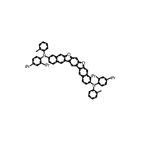 Cc1ccccc1N(c1ccc2cc3c(cc2c1)oc1cc2oc4cc5cc(N(c6ccccc6C)c6ccc(C(C)C)cc6C(C)C)ccc5cc4c2cc13)c1ccc(C(C)C)cc1C(C)C